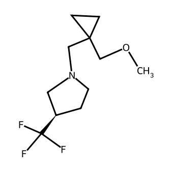 COCC1(CN2CC[C@@H](C(F)(F)F)C2)CC1